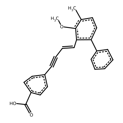 COc1c(C)ccc(-c2ccccc2)c1C=CC#Cc1ccc(C(=O)O)cc1